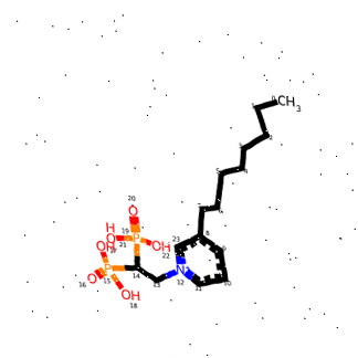 CCCCCCCCc1ccc[n+](CC(P(=O)(O)O)P(=O)(O)O)c1